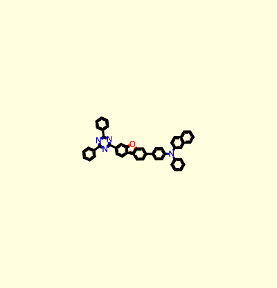 c1ccc(-c2nc(-c3ccccc3)nc(-c3ccc4c(c3)oc3cc(-c5ccc(N(c6ccccc6)c6ccc7ccccc7c6)cc5)ccc34)n2)cc1